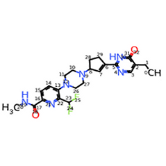 CCc1cnc(C2=CC(N3CCN(c4ccc(C(=O)NC)nc4C(F)F)CC3)CC2)[nH]c1=O